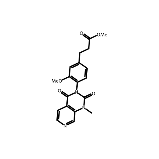 COC(=O)CCc1ccc(-n2c(=O)c3ccncc3n(C)c2=O)c(OC)c1